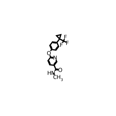 CNC(=O)c1ccc(Oc2ccc(C3(C(F)(F)F)CC3)cc2)nc1